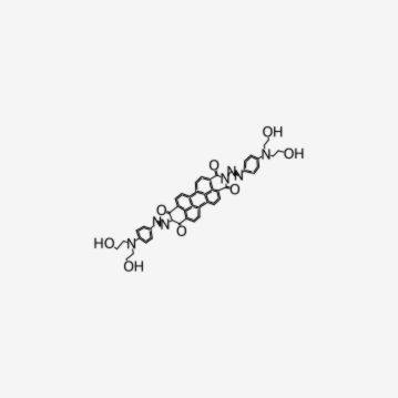 O=C1c2ccc3c4ccc5c6c(ccc(c7ccc(c2c37)C(=O)C1/N=N/c1ccc(N(CCO)CCO)cc1)c64)C(=O)N(/N=N/c1ccc(N(CCO)CCO)cc1)C5=O